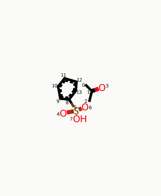 CC(C)=O.O=S(=O)(O)c1ccccc1